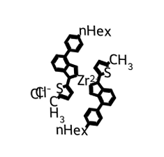 CCCCCCc1ccc(-c2cccc3c2C=[C]([Zr+2][C]2=Cc4c(-c5ccc(CCCCCC)cc5)cccc4C2c2ccc(C)s2)C3c2ccc(C)s2)cc1.[Cl-].[Cl-]